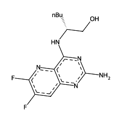 CCCC[C@H](CO)Nc1nc(N)nc2cc(F)c(F)nc12